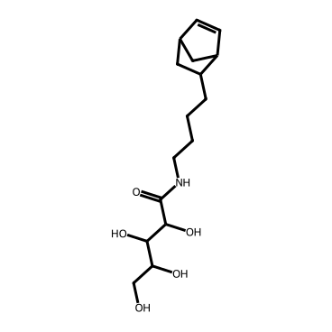 O=C(NCCCCC1CC2C=CC1C2)C(O)C(O)C(O)CO